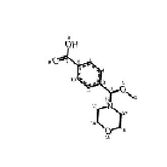 COC(c1ccc(C(=O)O)cc1)N1CCOCC1